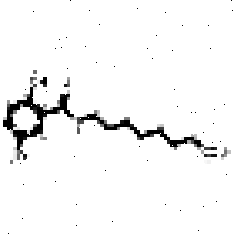 CC(C)c1ccc(O)c(C(=O)NCCCCCCCC(=O)O)c1